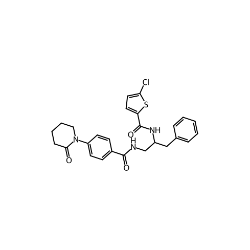 O=C(NCC(Cc1ccccc1)NC(=O)c1ccc(Cl)s1)c1ccc(N2CCCCC2=O)cc1